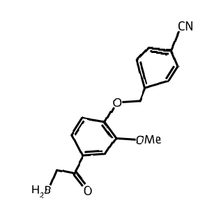 BCC(=O)c1ccc(OCc2ccc(C#N)cc2)c(OC)c1